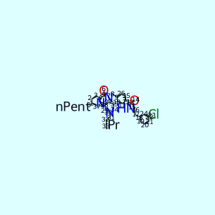 CCCCCc1ccc(C(=O)N(Cc2ccc(C(=O)NCCc3cccc(Cl)c3)cc2)C2CCN(CCC(C)C)CC2)nc1